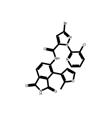 Cc1occc1-c1c(NC(=O)c2cc(Br)nn2-c2ncccc2Cl)ccc2c1C(=O)NC2=O